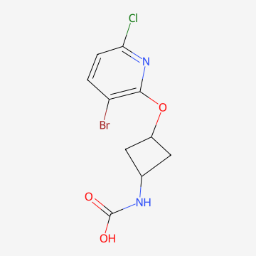 O=C(O)NC1CC(Oc2nc(Cl)ccc2Br)C1